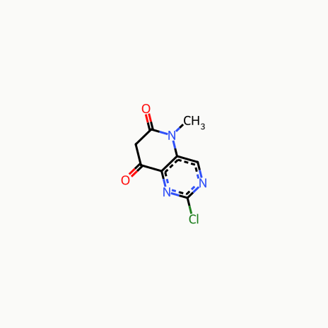 CN1C(=O)CC(=O)c2nc(Cl)ncc21